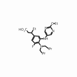 CCOc1ncc(Nc2cc(C(CC)CC(=O)O)cc(F)c2N(CC(C)C)CC(C)C)cn1